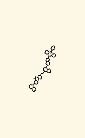 CC1(C)c2cc(/C=C/c3ccc(-c4ccc5cc(N6c7ccccc7N(c7ccccc7)c7ccccc76)ccc5c4)c4ccccc34)ccc2-c2ccc(N3CCCc4ccccc43)cc21